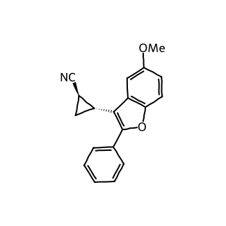 COc1ccc2oc(-c3ccccc3)c([C@@H]3C[C@H]3C#N)c2c1